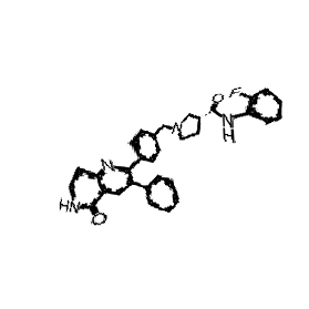 O=C(Nc1ccccc1F)[C@@H]1CCN(Cc2ccc(-c3nc4cc[nH]c(=O)c4cc3-c3ccccc3)cc2)C1